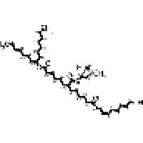 CCCCCC/C=C\COC(=O)CCCCCC(CCCCCC(=O)OC(CCCCCCC)CCCCCCC)C(=O)SCCN(C)C